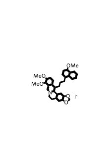 COc1ccc2c(CCCc3ccc(OC)c4ccccc34)c3[n+](cc2c1OC)CCc1cc2c(cc1-3)OCO2.[I-]